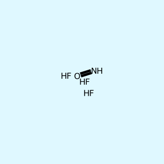 F.F.F.N=O